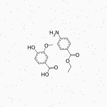 CCOC(=O)c1ccc(N)cc1.COc1cc(C(=O)O)ccc1O